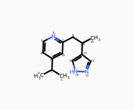 CC(C)c1ccnc(CC(C)c2cn[nH]c2)c1